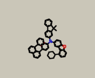 CC1(C)c2ccccc2-c2ccc(N(c3ccc(-c4cccc5cccc(-c6ccccc6)c45)cc3)c3ccc4oc5cccc(C6CCCCC6)c5c4c3)cc21